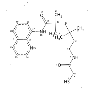 CC(C)(CCNC(=O)CS)CC(C)(C)C(=O)Nc1cccc2cccnc12